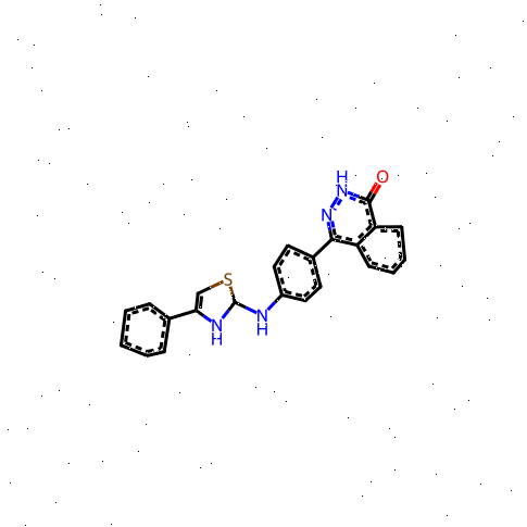 O=c1[nH]nc(-c2ccc(NC3NC(c4ccccc4)=CS3)cc2)c2ccccc12